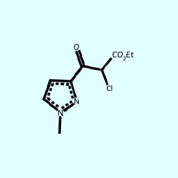 CCOC(=O)C(Cl)C(=O)c1ccn(C)n1